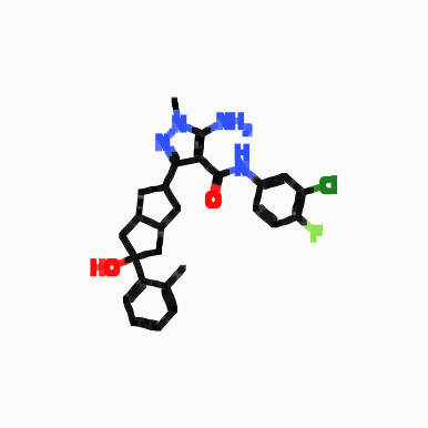 Cc1ccccc1C1(O)CC2CC(c3nn(C)c(N)c3C(=O)Nc3ccc(F)c(Cl)c3)CC2C1